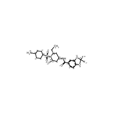 CC[C@H]1C[C@@H](NC(=O)c2ccc3c(c2)OC(F)(F)O3)C[C@@H](F)N1S(=O)(=O)C1CCC(N)CC1